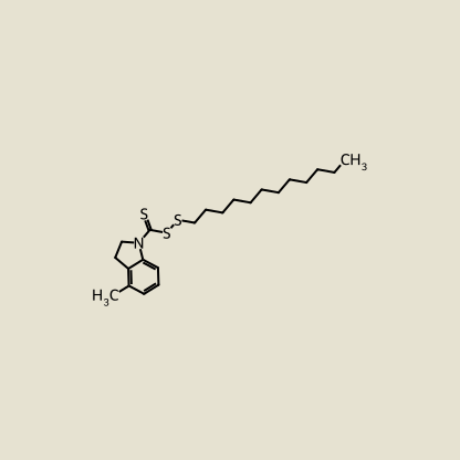 CCCCCCCCCCCCSSC(=S)N1CCc2c(C)cccc21